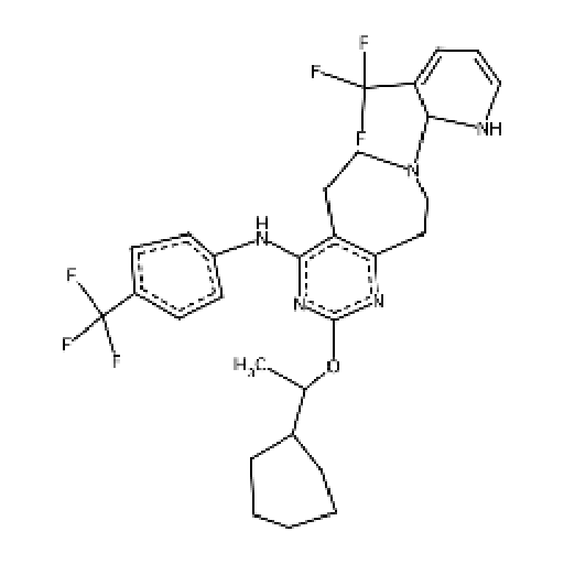 CC(Oc1nc2c(c(Nc3ccc(C(F)(F)F)cc3)n1)CCN(C1NC=CC=C1C(F)(F)F)CC2)C1CCCCC1